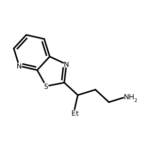 CCC(CCN)c1nc2cccnc2s1